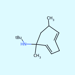 CC1/C=C/C/C=C/C(C)(NC(C)(C)C)C1